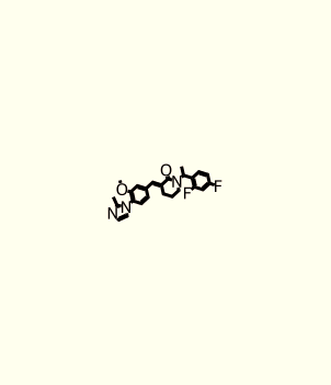 COc1cc(C=C2CCCN(C(C)c3ccc(F)cc3F)C2=O)ccc1-n1ccnc1C